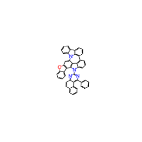 c1ccc(-c2nc(-n3c4cccc5c6cccc7c8ccccc8n(c8cc9oc%10ccccc%10c9c3c8c54)c67)nc3ccc4ccccc4c23)cc1